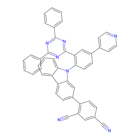 N#Cc1ccc(-c2ccc3c4ccccc4n(-c4ccc(-c5ccncc5)cc4-c4nc(-c5ccccc5)nc(-c5ccccc5)n4)c3c2)c(C#N)c1